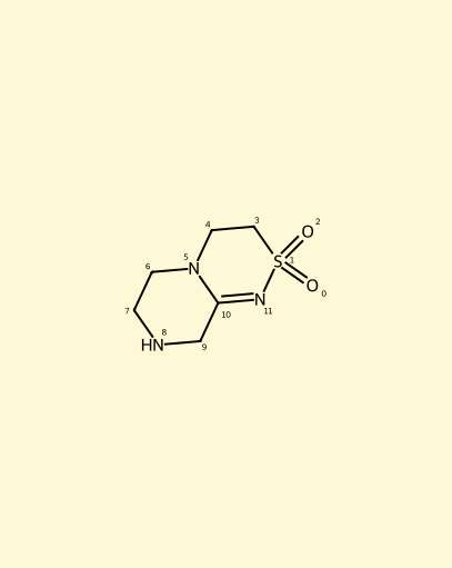 O=S1(=O)CCN2CCNCC2=N1